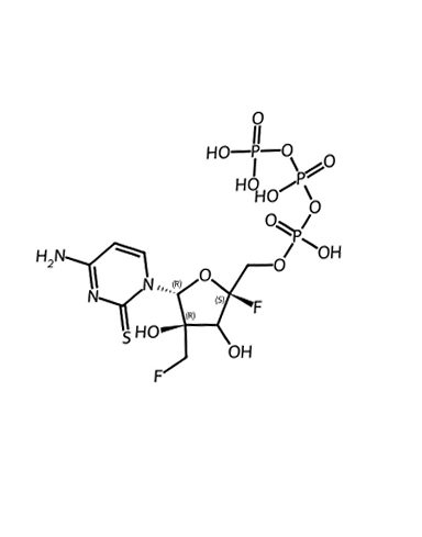 Nc1ccn([C@@H]2O[C@](F)(COP(=O)(O)OP(=O)(O)OP(=O)(O)O)C(O)[C@]2(O)CF)c(=S)n1